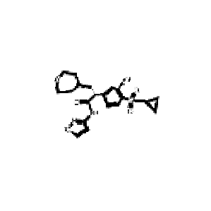 O=C(Nc1ccon1)[C@H](CC1CCOCC1)c1ccc(S(=O)(=O)C2CC2)c(Cl)c1